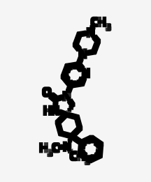 CN1CCN(c2ccc(N3C[C@]4(CC[C@@](c5ccccc5)(N(C)C)CC4)NC3=O)cn2)CC1